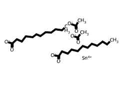 CC(=O)[O-].CC(=O)[O-].CCCCCCCCCCCC(=O)[O-].CCCCCCCCCCCC(=O)[O-].[Sn+4]